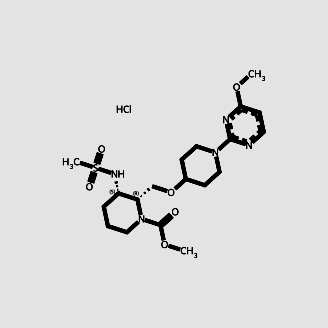 COC(=O)N1CCC[C@H](NS(C)(=O)=O)[C@@H]1COC1CCN(c2nccc(OC)n2)CC1.Cl